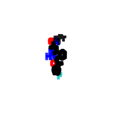 CCCN(C)C(=O)c1ccc(NC(c2oc3ccc(F)cc3c2C)C2CCCCC2)nc1